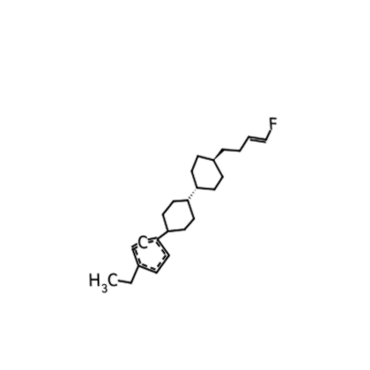 CCc1ccc(C2CCC([C@H]3CC[C@H](CC/C=C/F)CC3)CC2)cc1